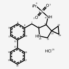 CC(C)S(=O)(=O)NC1C(Cc2cccc(-c3ccccc3)c2)NCC12CC2.Cl